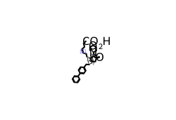 O=C(O)CC/C=C\CC[C@H]1[C@@H](CCc2ccc(-c3ccccc3)cc2)CC(=O)[C@@H]1N1CCOCC1